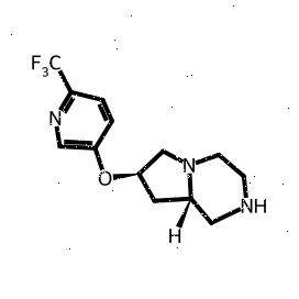 FC(F)(F)c1ccc(O[C@@H]2C[C@H]3CNCCN3C2)cn1